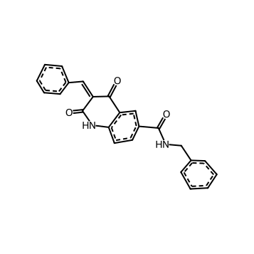 O=C1Nc2ccc(C(=O)NCc3ccccc3)cc2C(=O)/C1=C/c1ccccc1